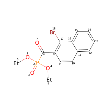 CCOP(=O)(OCC)C(=O)c1ccc2ccccc2c1Br